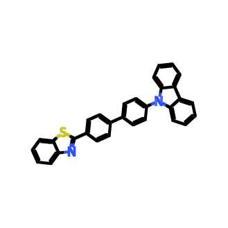 c1ccc2sc(-c3ccc(-c4ccc(-n5c6ccccc6c6ccccc65)cc4)cc3)nc2c1